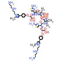 C[n+]1cc(-c2ccc(OC[C@H](O/N=C(/C(=O)N[C@@H]3C(=O)N(OS(=O)(=O)ON4C(=O)[C@@H](NC(=O)/C(=N/O[C@@H](COc5ccc(-c6cn(CCCNCCCN)[n+](C)c6)cc5)C(=O)O)c5csc(N)n5)C4(C)C)C3(C)C)c3csc(N)n3)C(=O)O)cc2)cn1CCCNCCCN